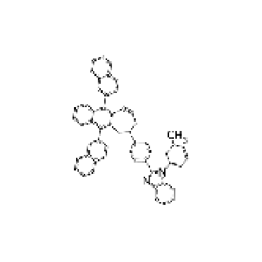 CC1C=CC=C(n2c(-c3ccc(C4=Cc5c(c(-c6ccc7ccccc7c6)c6ccccc6c5-c5ccc6ccccc6c5)C#CC4)cc3)nc3ccccc32)C1